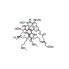 CCCCCCCCCCCCCCCC(=O)OC[C@H](CSC[C@H](NC(C)=O)C(=O)N[C@H](CO)C(=O)N[C@@H](CCCCN)C(=O)N[C@@H](CCCCN)C(=O)N[C@@H](CCCCN)C(=O)N[C@@H](CCCCN)C(=O)O)OC(=O)CCCCCCCCCCCCCCC